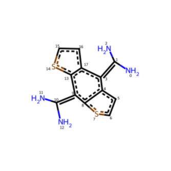 NC(N)=c1c2ccsc2c(=C(N)N)c2sccc12